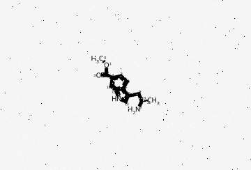 COC(=O)c1ccc2c(C[C@@H](C)N)c[nH]c2c1